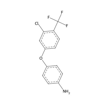 Nc1ccc(Oc2ccc(C(F)(F)F)c(Cl)c2)cc1